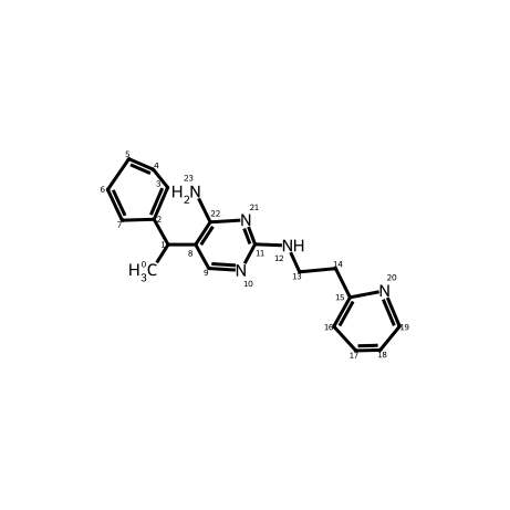 CC(c1ccccc1)c1cnc(NCCc2ccccn2)nc1N